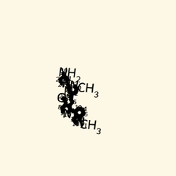 Cc1cc(N2Cc3c(ccnc3-c3cccc4c3ccn4C)C2=O)nc(N2CCC(N)C2)n1